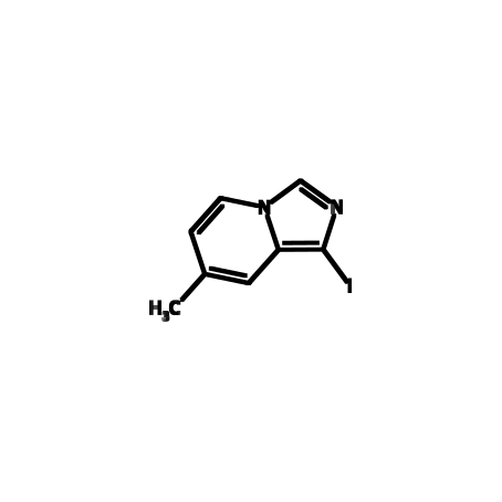 Cc1ccn2cnc(I)c2c1